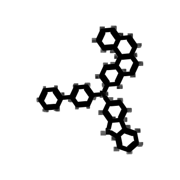 c1ccc(-c2ccc(N(c3ccc4c(ccc5ccc6ccccc6c54)c3)c3ccc4c(c3)sc3ccccc34)cc2)cc1